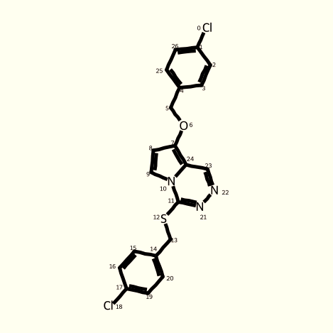 Clc1ccc(COc2ccn3c(SCc4ccc(Cl)cc4)nncc23)cc1